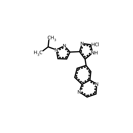 CC(C)n1ccc(-c2nc[nH]c2-c2ccc3nccnc3c2)n1.Cl